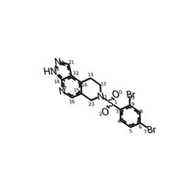 O=S(=O)(c1ccc(Br)cc1Br)N1CCc2c(cnc3[nH]ncc23)C1